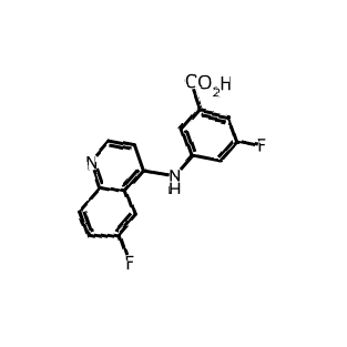 O=C(O)c1cc(F)cc(Nc2ccnc3ccc(F)cc23)c1